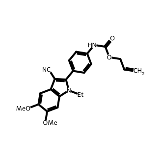 C=CCOC(=O)Nc1ccc(-c2c(C#N)c3cc(OC)c(OC)cc3n2CC)cc1